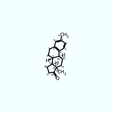 Cc1ccc2c(c1)CC[C@@H]1[C@@H]2CC[C@]2(C)C(=O)CC[C@@H]12